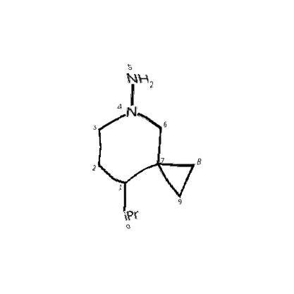 CC(C)C1CCN(N)CC12CC2